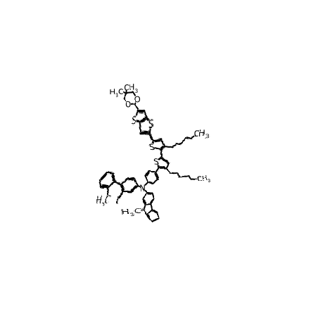 CCCCCCc1cc(-c2sc(-c3cc4sc(C5OCC(C)(C)CO5)cc4s3)cc2CCCCCC)sc1-c1ccc(N(c2ccc(-c3ccccc3C)c(I)c2)c2ccc3c(c2)[C@H](C)c2ccccc2-3)cc1